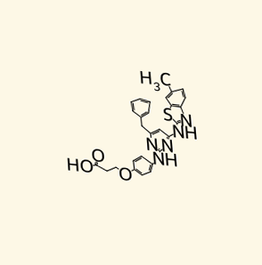 Cc1ccc2nc(Nc3cc(Cc4ccccc4)nc(Nc4ccc(OCCC(=O)O)cc4)n3)sc2c1